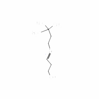 CCC/C=N/CCC(C)(C)C